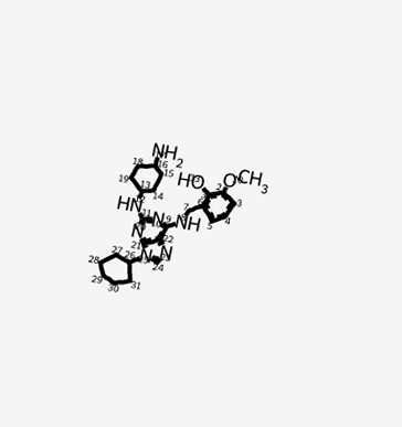 COc1cccc(CNc2nc(NC3CCC(N)CC3)nc3c2ncn3C2CCCCC2)c1O